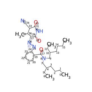 CCCCC(CC)CN(CC(CC)CCCC)C(=O)c1ccccc1/N=N/C1C(=O)NC(=O)C(C#N)C1C